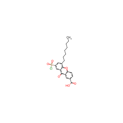 CCCCCCCCc1cc(S(=O)(=O)Cl)cc2c(=O)c3cc(C(=O)O)ccc3oc12